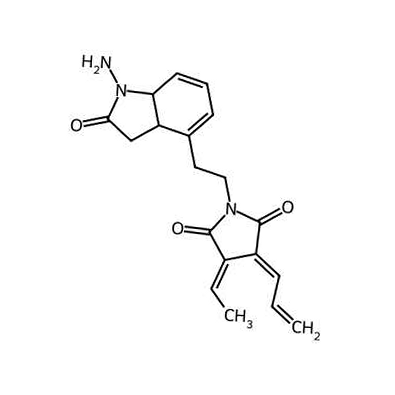 C=C/C=C1/C(=O)N(CCC2=CC=CC3C2CC(=O)N3N)C(=O)/C1=C/C